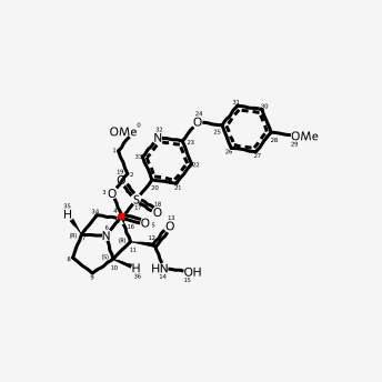 COCCOC(=O)N1[C@@H]2CC[C@H]1[C@H](C(=O)NO)N(S(=O)(=O)c1ccc(Oc3ccc(OC)cc3)nc1)C2